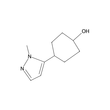 Cn1nccc1C1CCC(O)CC1